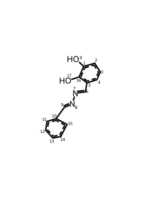 Oc1cccc(C=NN=Cc2ccccc2)c1O